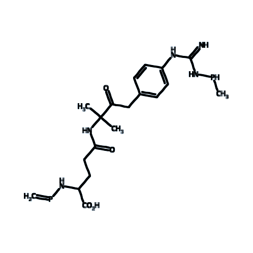 C=PNC(CCC(=O)NC(C)(C)C(=O)Cc1ccc(NC(=N)NPC)cc1)C(=O)O